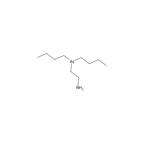 CCCC[As](CCN)CCCC